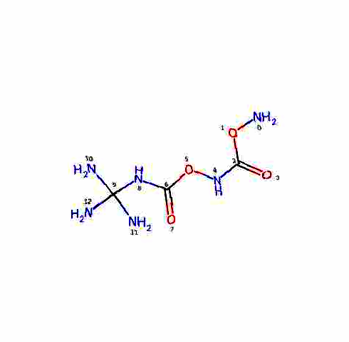 NOC(=O)NOC(=O)NC(N)(N)N